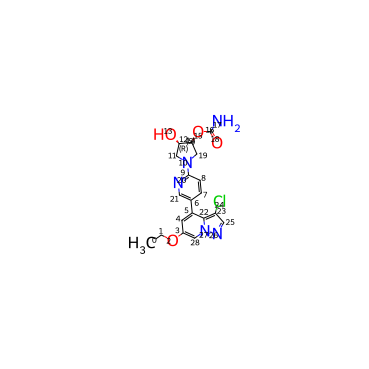 CCOc1cc(-c2ccc(N3C[C@@H](O)[C@@H](OC(N)=O)C3)nc2)c2c(Cl)cnn2c1